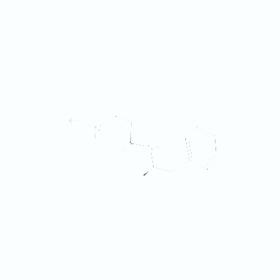 O=CN[C@@H](CC(=O)N[C@@H](Cc1ccccc1)C(=O)O)C(=O)O